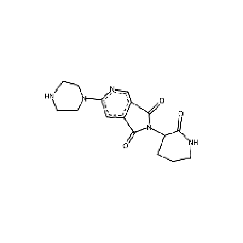 O=C1NCCCC1N1C(=O)c2cnc(N3CCNCC3)cc2C1=O